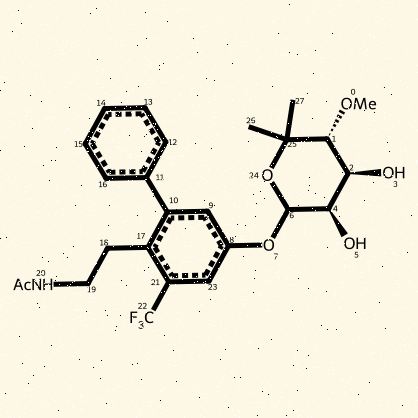 CO[C@@H]1[C@@H](O)[C@@H](O)C(Oc2cc(-c3ccccc3)c(CCNC(C)=O)c(C(F)(F)F)c2)OC1(C)C